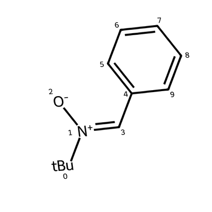 CC(C)(C)[N+]([O-])=Cc1ccccc1